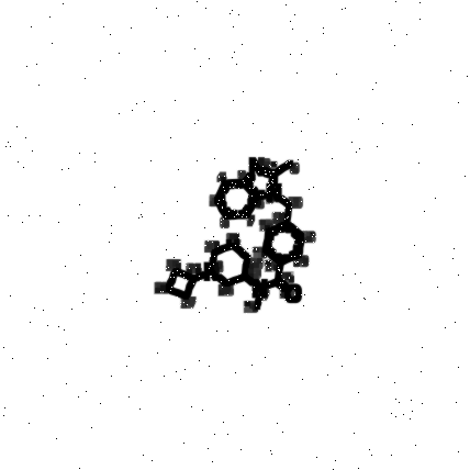 Cc1nc2ccccc2n1Cc1ccc(C(=O)N(C)C2CCCN(C3CCC3)C2)cc1